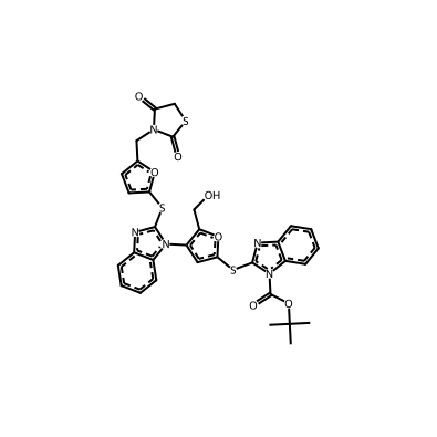 CC(C)(C)OC(=O)n1c(Sc2cc(-n3c(Sc4ccc(CN5C(=O)CSC5=O)o4)nc4ccccc43)c(CO)o2)nc2ccccc21